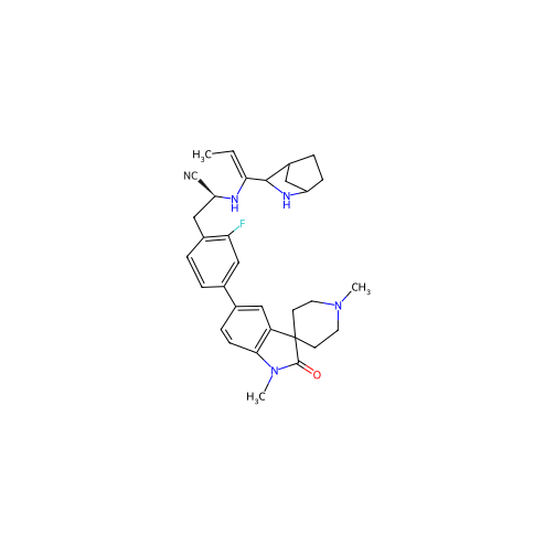 C/C=C(\N[C@H](C#N)Cc1ccc(-c2ccc3c(c2)C2(CCN(C)CC2)C(=O)N3C)cc1F)C1NC2CCC1C2